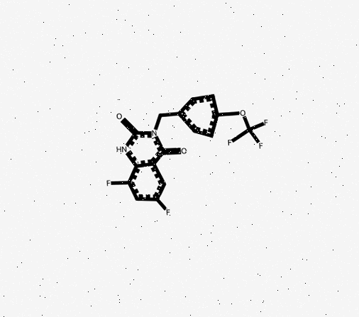 O=c1[nH]c2c(F)cc(F)cc2c(=O)n1Cc1ccc(OC(F)(F)F)cc1